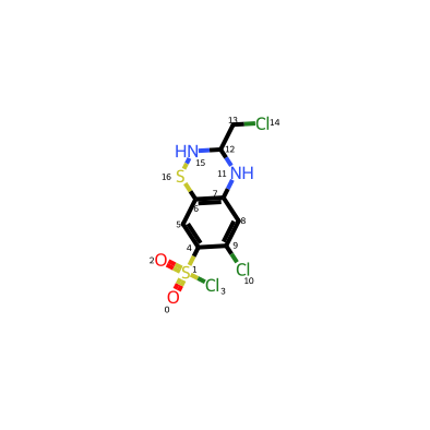 O=S(=O)(Cl)c1cc2c(cc1Cl)NC(CCl)NS2